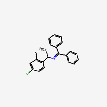 CCOC(=O)C(N=C(c1ccccc1)c1ccccc1)c1ccc(Cl)cc1C